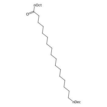 CCCCCCCCCCCCCCCCCCCCCCCCCCC(=O)CCCCCCCC